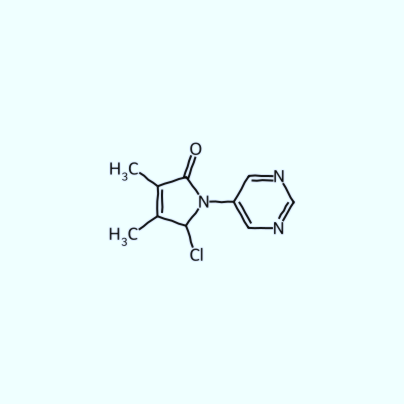 CC1=C(C)C(Cl)N(c2cncnc2)C1=O